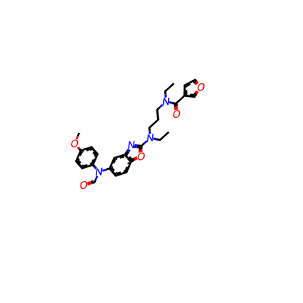 CCN(CCCN(CC)c1nc2cc(N(C=O)c3ccc(OC)cc3)ccc2o1)C(=O)c1ccoc1